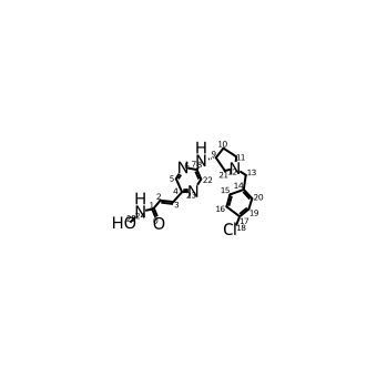 O=C(/C=C/c1cnc(N[C@@H]2CCN(Cc3ccc(Cl)cc3)C2)cn1)NO